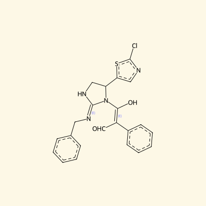 O=C/C(=C(/O)N1/C(=N/Cc2ccccc2)NCC1c1cnc(Cl)s1)c1ccccc1